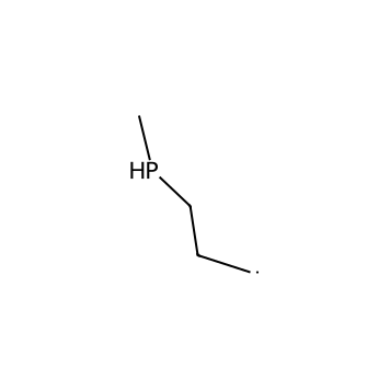 [CH2]CCPC